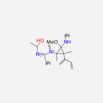 C=CC(=C)C1(C)C(NC(C)C)(OC)C1(C)[N+](=C)/C(=N\C(C)O)C(C)C